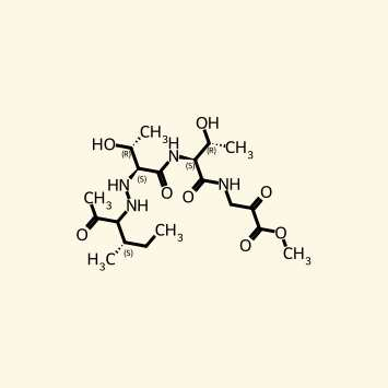 CC[C@H](C)C(NN[C@H](C(=O)N[C@H](C(=O)NCC(=O)C(=O)OC)[C@@H](C)O)[C@@H](C)O)C(C)=O